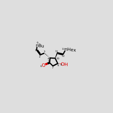 CCCC/C=C\C[C@H]1C(=O)C[C@@H](O)[C@@H]1/C=C/CCCCCC